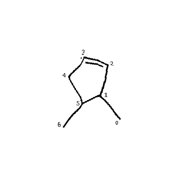 CC1C=[C]CC1C